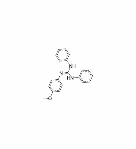 COc1ccc(N=C(Nc2ccccc2)Nc2ccccc2)cc1